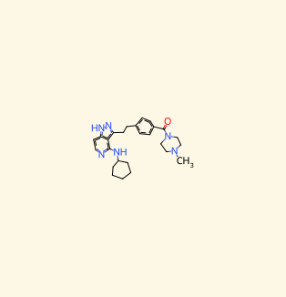 CN1CCN(C(=O)c2ccc(CCc3n[nH]c4ccnc(NC5CCCCC5)c34)cc2)CC1